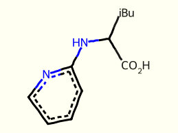 CCC(C)C(Nc1ccccn1)C(=O)O